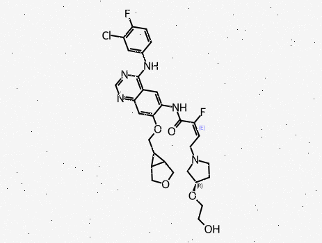 O=C(Nc1cc2c(Nc3ccc(F)c(Cl)c3)ncnc2cc1OCC1C2COCC21)/C(F)=C\CN1CC[C@@H](OCCO)C1